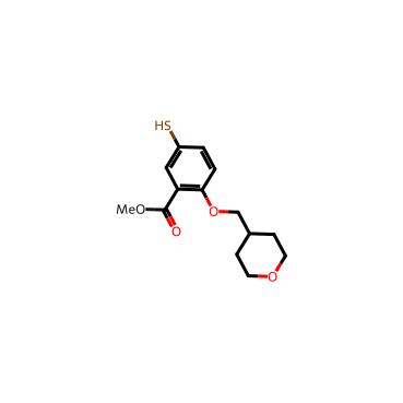 COC(=O)c1cc(S)ccc1OCC1CCOCC1